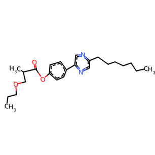 CCCCCCCc1cnc(-c2ccc(OC(=O)C(C)COCCC)cc2)cn1